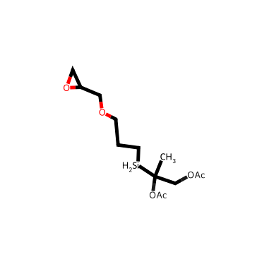 CC(=O)OCC(C)(OC(C)=O)[SiH2]CCCOCC1CO1